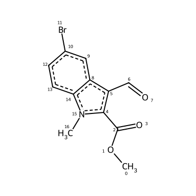 COC(=O)c1c(C=O)c2cc(Br)ccc2n1C